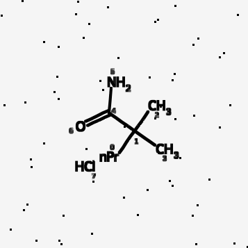 CCCC(C)(C)C(N)=O.Cl